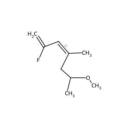 C=C(F)/C=C(/C)CC(C)OC